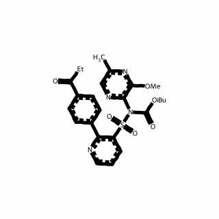 CCC(=O)c1ccc(-c2ncccc2S(=O)(=O)N(C(=O)OCC(C)C)c2ncc(C)nc2OC)cc1